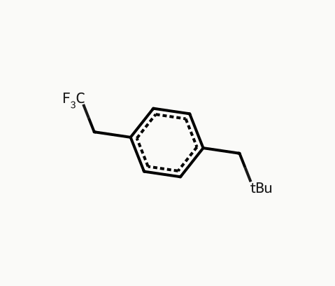 CC(C)(C)Cc1ccc(CC(F)(F)F)cc1